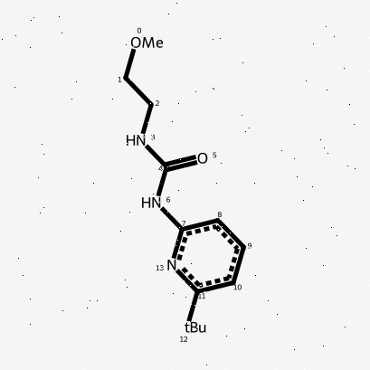 COCCNC(=O)Nc1cccc(C(C)(C)C)n1